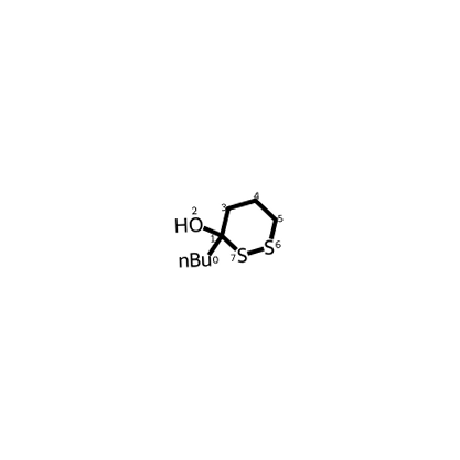 CCCCC1(O)CCCSS1